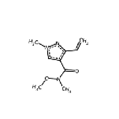 C=Cc1nn(C)cc1C(=O)N(C)OC